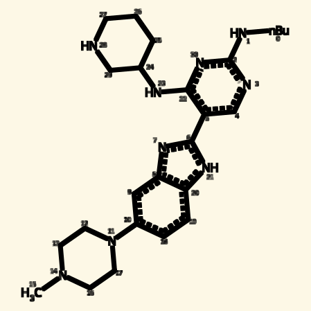 CCCCNc1ncc(-c2nc3cc(N4CCN(C)CC4)ccc3[nH]2)c(NC2CCCNC2)n1